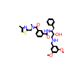 COc1cc(CNC[C@@H](O)[C@H](Cc2ccccc2)NC(=O)c2cccc(C(=O)N(C)Cc3nc(C)cs3)c2)cc(OC)c1